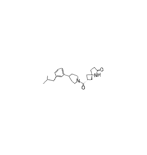 CC(C)Cc1cccc(C2CCN(C(=O)[C@H]3C[C@]4(CCC(=O)N4)C3)CC2)c1